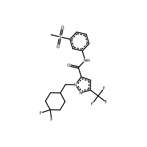 CS(=O)(=O)c1cccc(NC(=O)c2cc(C(F)(F)F)nn2CC2CCC(F)(F)CC2)c1